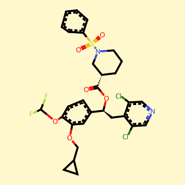 O=C(O[C@@H](Cc1c(Cl)cncc1Cl)c1ccc(OC(F)F)c(OCC2CC2)c1)[C@H]1CCCN(S(=O)(=O)c2ccccc2)C1